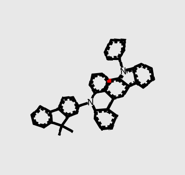 CC1(C)c2ccccc2-c2ccc(N(c3ccccc3)c3ccccc3-c3ccc4c(c3)c3ccccc3n4-c3ccccc3)cc21